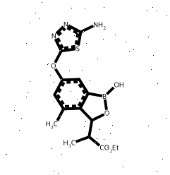 CCOC(=O)C(C)C1OB(O)c2cc(Oc3nnc(N)s3)cc(C)c21